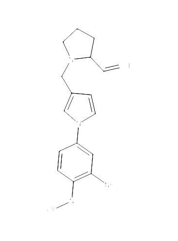 C=CC1CCCN1Cc1ccn(-c2ccc(NCCC)c([N+](=O)[O-])c2)c1